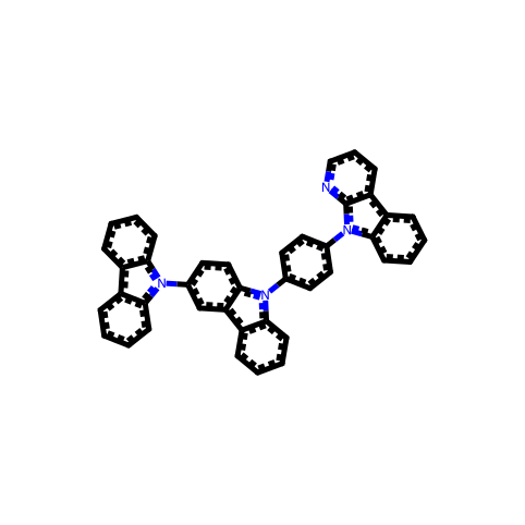 c1ccc2c(c1)c1ccccc1n2-c1ccc2c(c1)c1ccccc1n2-c1ccc(-n2c3ccccc3c3cccnc32)cc1